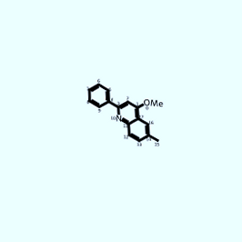 COc1cc(-c2ccccc2)nc2ccc(C)cc12